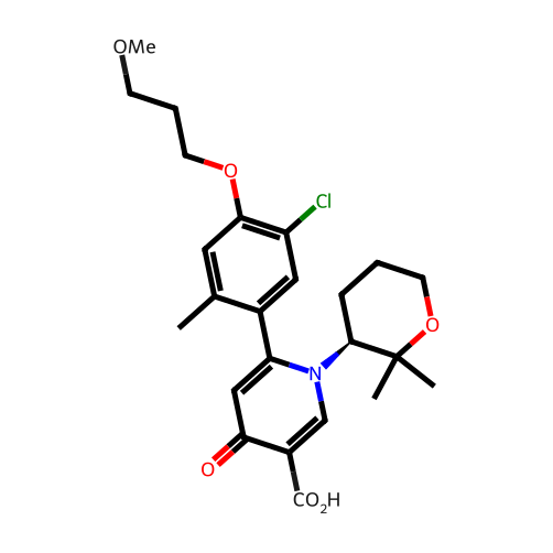 COCCCOc1cc(C)c(-c2cc(=O)c(C(=O)O)cn2[C@H]2CCCOC2(C)C)cc1Cl